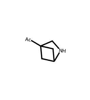 CC(=O)C12CNC(C1)C2